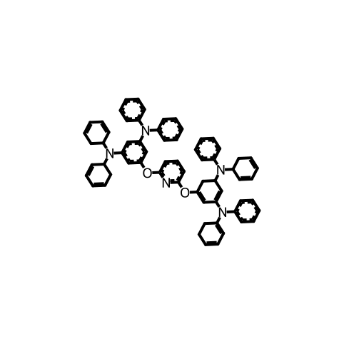 C1=CCCC(N(C2=CC(N(c3ccccc3)C3C=CC=CC3)CC(Oc3cccc(Oc4cc(N(c5ccccc5)c5ccccc5)cc(N(C5C=CC=CC5)C5C=CC=CC5)c4)n3)=C2)c2ccccc2)=C1